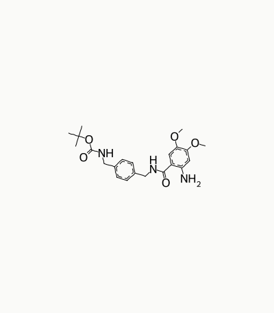 COc1cc(N)c(C(=O)NCc2ccc(CNC(=O)OC(C)(C)C)cc2)cc1OC